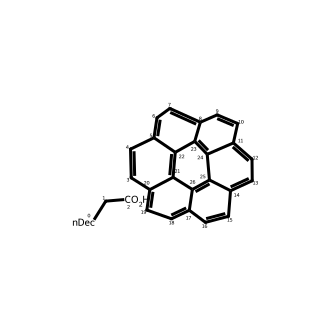 CCCCCCCCCCCC(=O)O.c1cc2ccc3ccc4ccc5ccc6ccc1c1c2c3c4c5c61